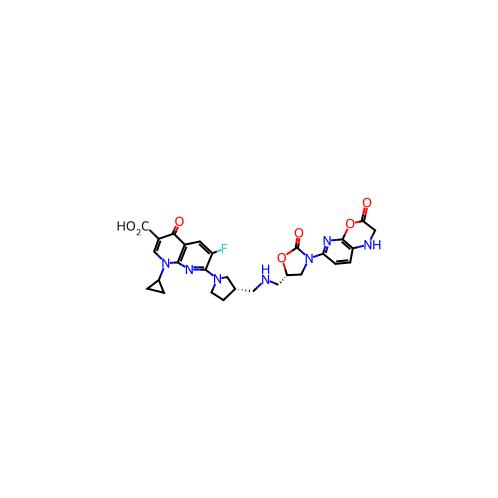 O=C1CNc2ccc(N3C[C@H](CNC[C@@H]4CCN(c5nc6c(cc5F)c(=O)c(C(=O)O)cn6C5CC5)C4)OC3=O)nc2O1